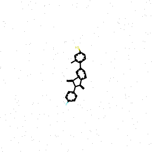 C=C1c2ccc(-c3ccc(S)cc3C)cc2C(=C)C1c1ccc(F)cc1